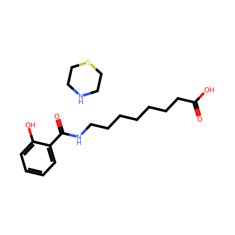 C1CSCCN1.O=C(O)CCCCCCCNC(=O)c1ccccc1O